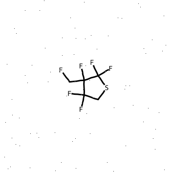 FCC1(F)C(F)(F)CSC1(F)F